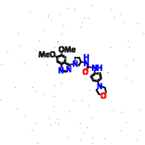 COc1cc2ncnc(N3CCC(NC(=O)Nc4ccc(N5CCOCC5)cc4)C3)c2cc1OC